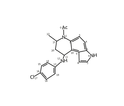 CC(=O)N1c2ccc3[nH]ccc3c2C(Nc2ccc(Cl)cc2)CC1C